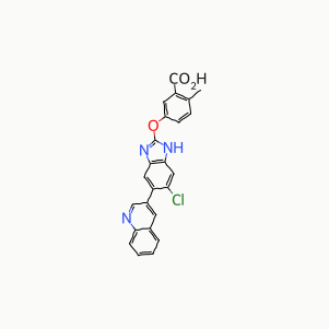 Cc1ccc(Oc2nc3cc(-c4cnc5ccccc5c4)c(Cl)cc3[nH]2)cc1C(=O)O